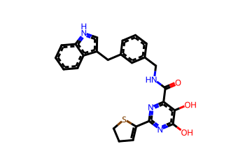 O=C(NCc1cccc(Cc2c[nH]c3ccccc23)c1)c1nc(C2=CCCS2)nc(O)c1O